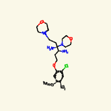 COc1cc(OCCC(N)C(N)(CCN2CCOCC2)N2CCOCC2)c(Cl)cc1[N+](=O)[O-]